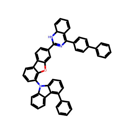 C1=CC2=C(c3ccc(-c4ccccc4)cc3)N=C(c3ccc4c(c3)oc3c(-n5c6ccccc6c6c(-c7ccccc7)cccc65)cccc34)NC2C=C1